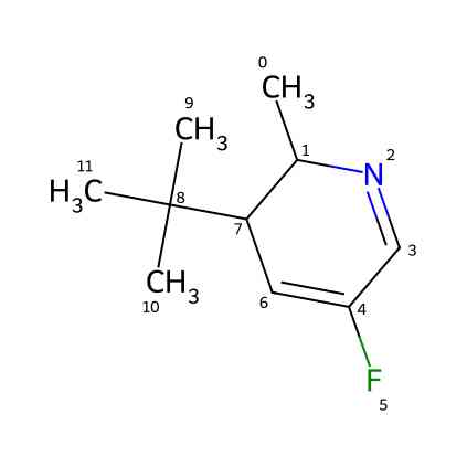 CC1N=CC(F)=CC1C(C)(C)C